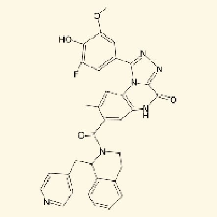 COc1cc(-c2nnc3c(=O)[nH]c4cc(C(=O)N5CCc6ccccc6C5Cc5ccncc5)c(C)cc4n23)cc(F)c1O